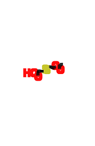 CC(=O)OCCSSCCC(=O)O